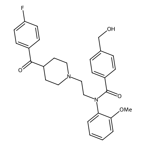 COc1ccccc1N(CCN1CCC(C(=O)c2ccc(F)cc2)CC1)C(=O)c1ccc(CO)cc1